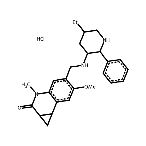 CCC1CNC(c2ccccc2)C(NCc2cc3c(cc2OC)C2CC2C(=O)N3C)C1.Cl